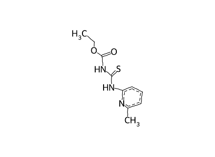 CCOC(=O)NC(=S)Nc1cccc(C)n1